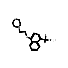 O=C(O)C(F)(F)c1ccc(OCCN2CCOCC2)c2ccccc12